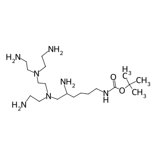 CC(C)(C)OC(=O)NCCCCC(N)CN(CCN)CCN(CCN)CCN